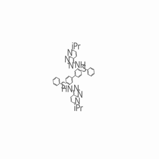 CC(C)c1ccc2c(Nc3cc(-c4ccc(Sc5ccccc5)c(Nc5ncnc6nc(C(C)C)ccc56)c4)ccc3Sc3ccccc3)ncnc2n1